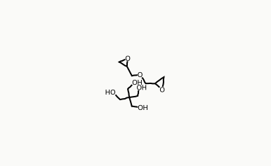 C(OCC1CO1)C1CO1.OCC(CO)(CO)CO